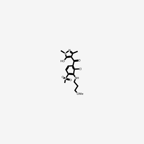 COCCCNc1c(S(C)(=O)=O)ccc(C(=O)c2c(C)nn(C)c2O)c1Cl